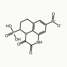 O=c1[nH]c2cc([N+](=O)[O-])cc3c2n(c1=O)C(P(=O)(O)O)CC3